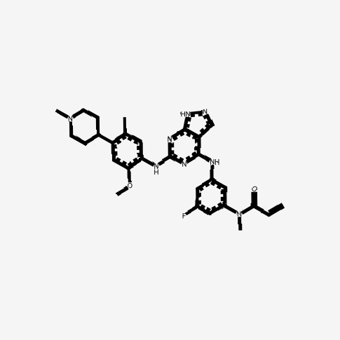 C=CC(=O)N(C)c1cc(F)cc(Nc2nc(Nc3cc(C)c(C4CCN(C)CC4)cc3OC)nc3[nH]ncc23)c1